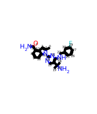 Cc1cc2c(C(N)=O)cccc2n1-c1ncc(C(C)(C)N)c(NCc2cccc(F)c2)n1